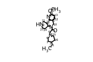 CCC1CCN(CC(=O)N(Cc2ccc(OC)nc2)C2CCNCC2)CC1